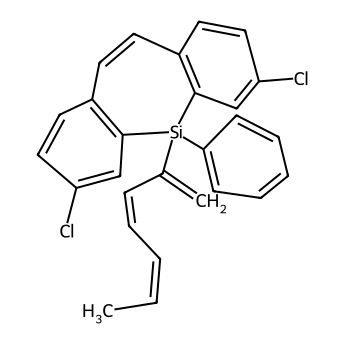 C=C(/C=C\C=C/C)[Si]1(c2ccccc2)c2cc(Cl)ccc2C=Cc2ccc(Cl)cc21